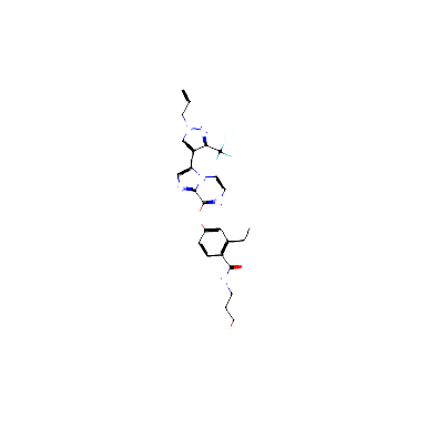 C=CCn1cc(-c2cnc3c(Oc4ccc(C(=O)NCCCO)c(CC)c4)nccn23)c(C(F)(F)F)n1